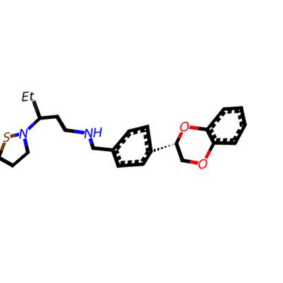 CCC(CCNCc1ccc([C@H]2COc3ccccc3O2)cc1)N1CCCS1